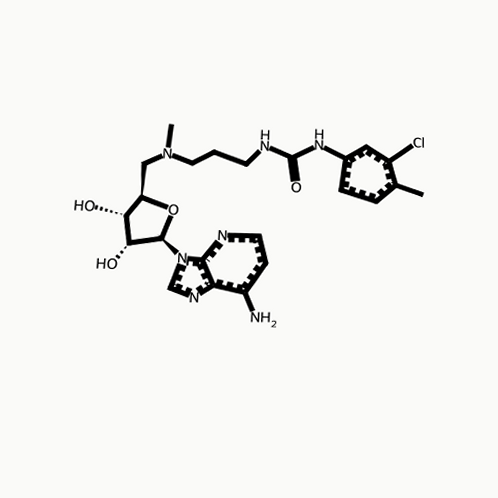 Cc1ccc(NC(=O)NCCCN(C)C[C@H]2O[C@@H](n3cnc4c(N)ccnc43)[C@H](O)[C@@H]2O)cc1Cl